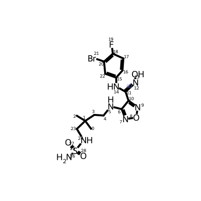 CC(C)(CCNc1nonc1/C(=N/O)Nc1ccc(F)c(Br)c1)CNS(N)(=O)=O